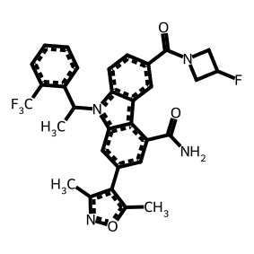 Cc1noc(C)c1-c1cc(C(N)=O)c2c3cc(C(=O)N4CC(F)C4)ccc3n(C(C)c3ccccc3C(F)(F)F)c2c1